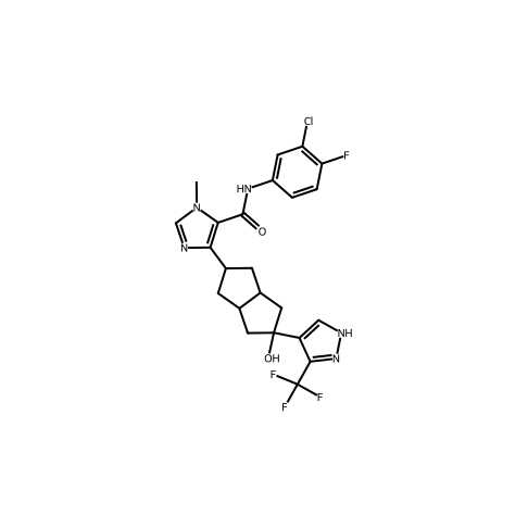 Cn1cnc(C2CC3CC(O)(c4c[nH]nc4C(F)(F)F)CC3C2)c1C(=O)Nc1ccc(F)c(Cl)c1